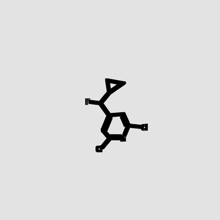 FC(c1cc(Cl)nc(Cl)c1)C1CC1